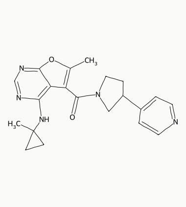 Cc1oc2ncnc(NC3(C)CC3)c2c1C(=O)N1CCC(c2ccncc2)C1